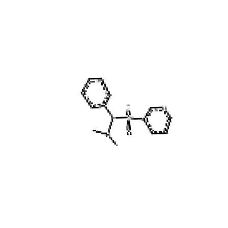 CN(C)N(c1ccccc1)S(=O)(=O)c1cccnc1